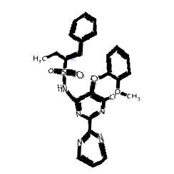 CC/C(=C\c1ccccc1)S(=O)(=O)Nc1nc(-c2ncccn2)nc(Cl)c1Oc1ccccc1OC